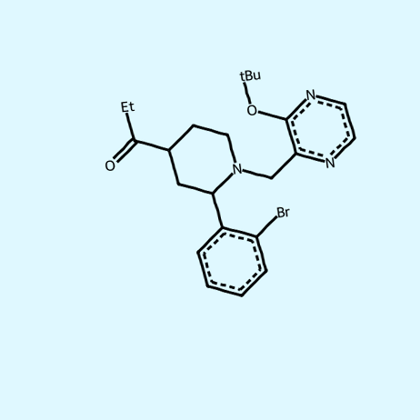 CCC(=O)C1CCN(Cc2nccnc2OC(C)(C)C)C(c2ccccc2Br)C1